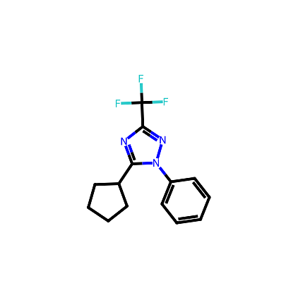 FC(F)(F)c1nc(C2CCCC2)n(-c2ccccc2)n1